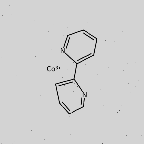 [Co+3].c1ccc(-c2ccccn2)nc1